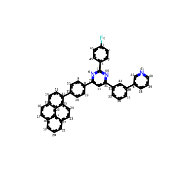 Fc1ccc(-c2nc(-c3ccc(-c4ccc5ccc6cccc7ccc4c5c67)cc3)cc(-c3cccc(-c4cccnc4)c3)n2)cc1